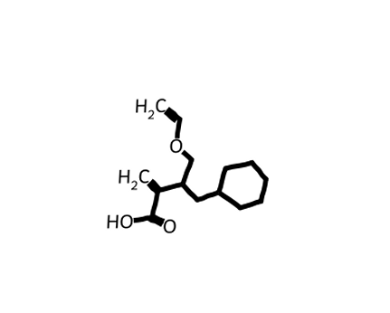 C=COCC(CC1CCCCC1)C(=C)C(=O)O